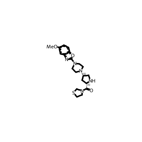 COc1ccc2oc(N3CCN([C@@H]4CN[C@H](C(=O)N5CCSC5)C4)CC3)nc2c1